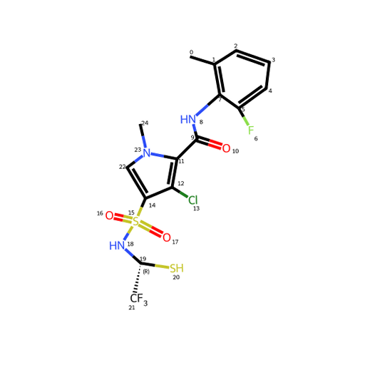 Cc1cccc(F)c1NC(=O)c1c(Cl)c(S(=O)(=O)N[C@H](S)C(F)(F)F)cn1C